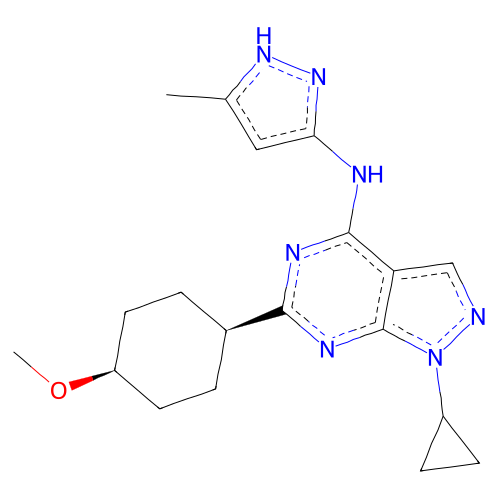 CO[C@H]1CC[C@@H](c2nc(Nc3cc(C)[nH]n3)c3cnn(C4CC4)c3n2)CC1